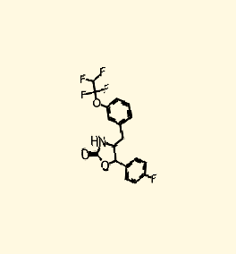 O=C1NC(Cc2cccc(OC(F)(F)C(F)F)c2)C(c2ccc(F)cc2)O1